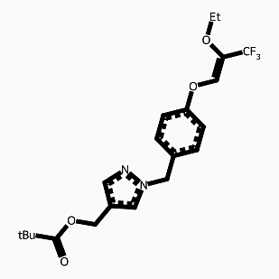 CCO/C(=C\Oc1ccc(Cn2cc(COC(=O)C(C)(C)C)cn2)cc1)C(F)(F)F